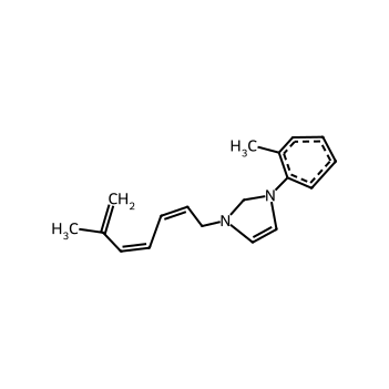 C=C(C)/C=C\C=C/CN1C=CN(c2ccccc2C)C1